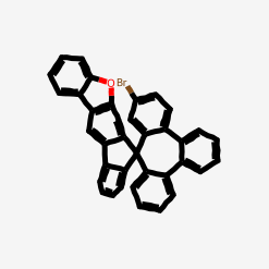 Brc1ccc2c(c1)C1(c3ccccc3-c3ccccc3-2)c2ccccc2-c2cc3c(cc21)oc1ccccc13